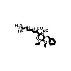 CCOC(OCC)[C@H](Cc1ccccc1)N(C(=O)[C@@H](N)CCCNC(=N)N)[N+](=O)[O-]